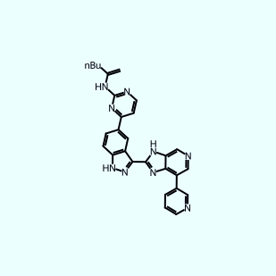 C=C(CCCC)Nc1nccc(-c2ccc3[nH]nc(-c4nc5c(-c6cccnc6)cncc5[nH]4)c3c2)n1